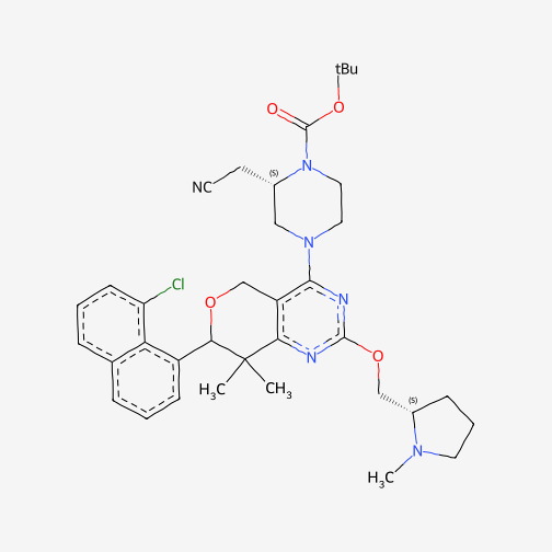 CN1CCC[C@H]1COc1nc(N2CCN(C(=O)OC(C)(C)C)[C@@H](CC#N)C2)c2c(n1)C(C)(C)C(c1cccc3cccc(Cl)c13)OC2